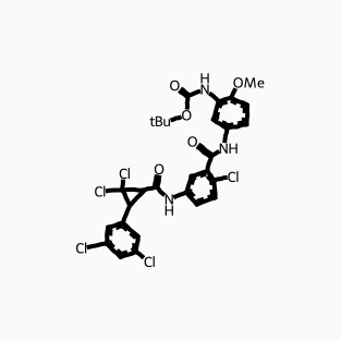 COc1ccc(NC(=O)c2cc(NC(=O)C3C(c4cc(Cl)cc(Cl)c4)C3(Cl)Cl)ccc2Cl)cc1NC(=O)OC(C)(C)C